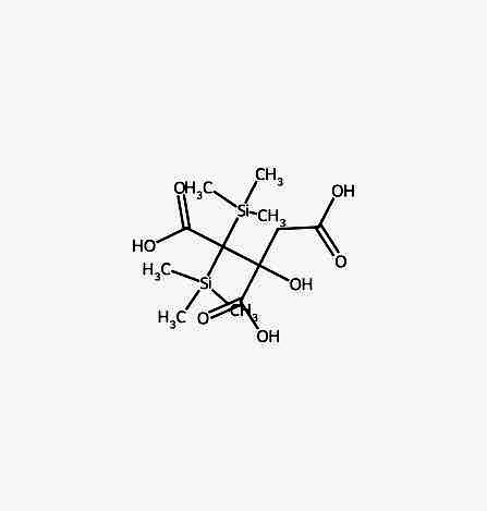 C[Si](C)(C)C(C(=O)O)(C(O)(CC(=O)O)C(=O)O)[Si](C)(C)C